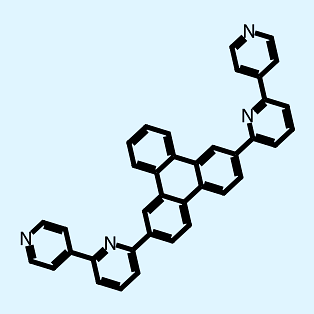 c1cc(-c2ccncc2)nc(-c2ccc3c4ccc(-c5cccc(-c6ccncc6)n5)cc4c4ccccc4c3c2)c1